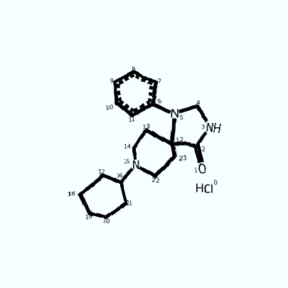 Cl.O=C1NCN(c2ccccc2)C12CCN(C1CCCCC1)CC2